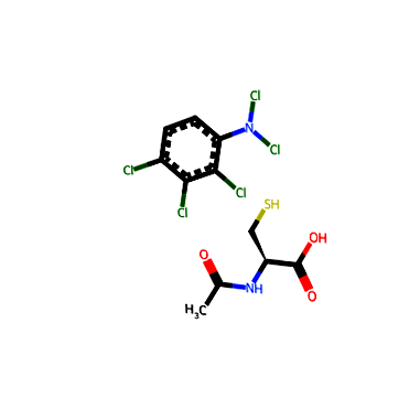 CC(=O)N[C@@H](CS)C(=O)O.Clc1ccc(N(Cl)Cl)c(Cl)c1Cl